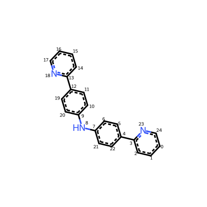 c1ccc(-c2ccc(Nc3ccc(-c4ccccn4)cc3)cc2)nc1